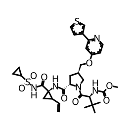 C=CC1C[C@]1(NC(=O)[C@@H]1C[C@@H](COc2ccnc(-c3ccsc3)c2)CN1C(=O)[C@@H](NC(=O)OC)C(C)(C)C)C(=O)NS(=O)(=O)C1CC1